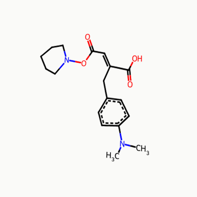 CN(C)c1ccc(C/C(=C\C(=O)ON2CCCCC2)C(=O)O)cc1